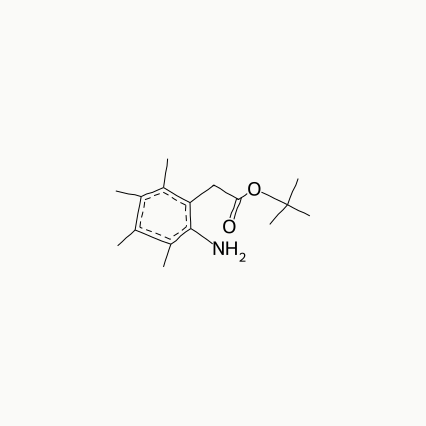 Cc1c(C)c(C)c(CC(=O)OC(C)(C)C)c(N)c1C